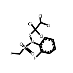 O=S(=O)(CI)N(SC(Cl)(Cl)C(Cl)Cl)c1ccccc1F